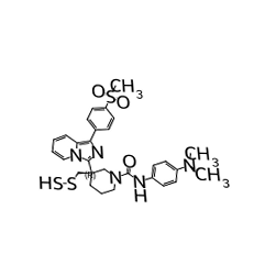 CN(C)c1ccc(NC(=O)N2CCC[C@](CSS)(c3nc(-c4ccc(S(C)(=O)=O)cc4)c4ccccn34)C2)cc1